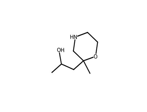 CC(O)CC1(C)CNCCO1